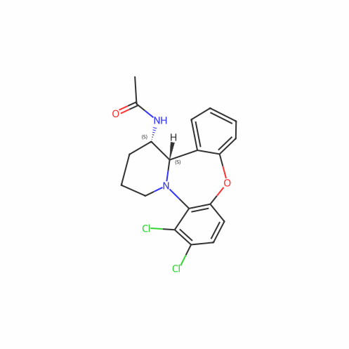 CC(=O)N[C@H]1CCCN2c3c(ccc(Cl)c3Cl)Oc3ccccc3[C@@H]12